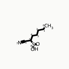 CCCCCC(C#N)S(=O)O